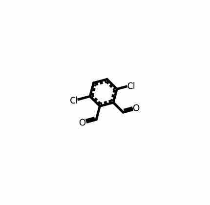 O=Cc1c(Cl)ccc(Cl)c1C=O